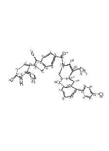 CC1CN(C(=O)c2ccc3c(c2)CN(C2CCC(=O)NC2=O)C3=O)CC(C)N1Cc1ccccc1-c1ccc(Cl)cc1